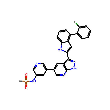 CS(=O)(=O)Nc1cncc(-c2cnc3[nH]nc(-c4cc5c(-c6ccccc6F)cccc5[nH]4)c3c2)c1